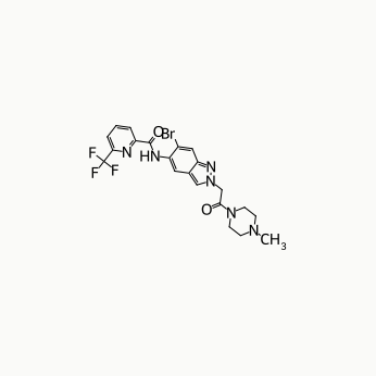 CN1CCN(C(=O)Cn2cc3cc(NC(=O)c4cccc(C(F)(F)F)n4)c(Br)cc3n2)CC1